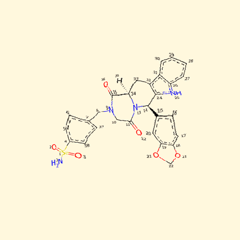 NS(=O)(=O)c1ccc(CN2CC(=O)N3[C@H](c4ccc5c(c4)OCO5)c4[nH]c5ccccc5c4C[C@@H]3C2=O)cc1